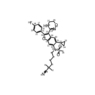 CC(C)(C#N)CCCCN(c1cc2oc(-c3ccc(F)cc3)c(C3=NOCCN3)c2cc1C1CC1)S(C)(=O)=O